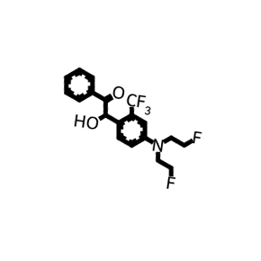 O=C(c1ccccc1)C(O)c1ccc(N(CCF)CCF)cc1C(F)(F)F